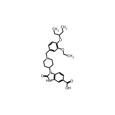 CCOc1cc(CN2CCC(n3c(=O)[nH]c4cc(C(=O)O)ccc43)CC2)ccc1OC(CC)CC